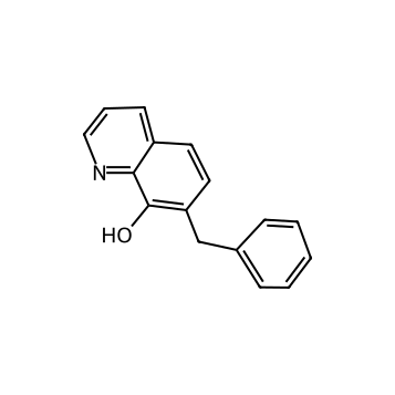 Oc1c(Cc2ccccc2)ccc2cccnc12